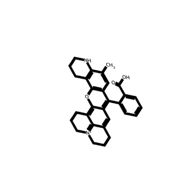 Cc1cc2c(c3c1NCCC3)Oc1c3c4c(cc1=C2c1ccccc1C(=O)O)CCC[N+]=4CCC3